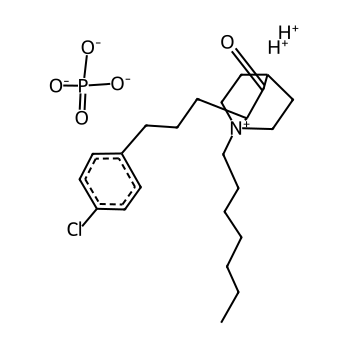 CCCCCCC[N+]12CCC(CC1)C(=O)C2CCCc1ccc(Cl)cc1.O=P([O-])([O-])[O-].[H+].[H+]